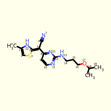 CC1=CS/C(=C(/C#N)c2ccnc(NCCCOC(C)C)n2)N1